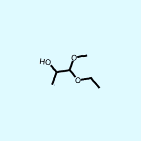 [CH2]C(O)C(OC)OCC